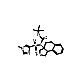 Cn1cnc(S(=O)(=O)N(C(=O)OC(C)(C)C)C23CCc4ccccc4C2CNC3)c1